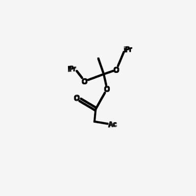 CC(=O)CC(=O)OC(C)(OC(C)C)OC(C)C